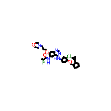 C=C(F)C(=O)Nc1cc2c(Nc3ccc(OCc4ccccc4C4CC4)c(Cl)c3)ncnc2cc1OCCCN1CCOCC1